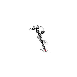 CC1(C)CCC(CN2CCN(c3ccc(C(=O)NS(=O)(=O)c4ccc(NCC5CCC(N=S(C)(C)=O)CC5)c([N+](=O)[O-])c4)c(Oc4cnc5[nH]ccc5c4)c3)CC2)=C(c2ccc(Cl)cc2)C1